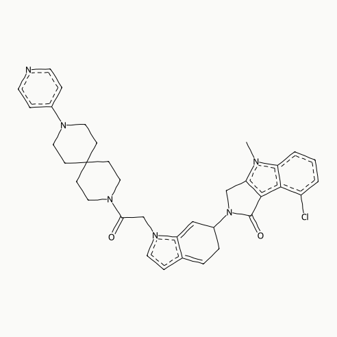 Cn1c2c(c3c(Cl)cccc31)C(=O)N(C1C=c3c(ccn3CC(=O)N3CCC4(CC3)CCN(c3ccncc3)CC4)=CC1)C2